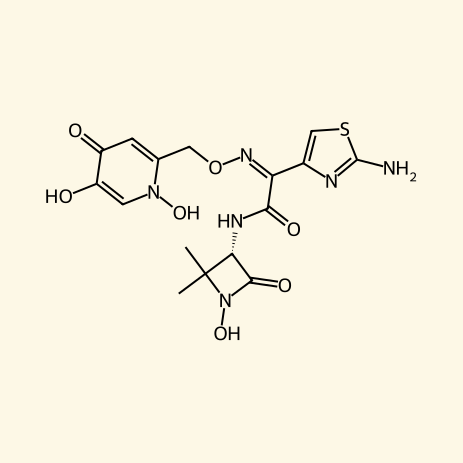 CC1(C)[C@H](NC(=O)/C(=N\OCc2cc(=O)c(O)cn2O)c2csc(N)n2)C(=O)N1O